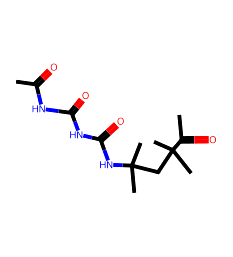 CC(=O)NC(=O)NC(=O)NC(C)(C)CC(C)(C)C(C)=O